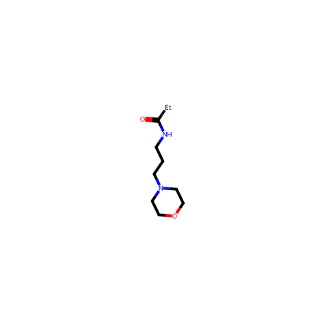 CCC(=O)NCCCN1CCOCC1